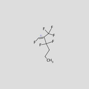 CCCC(F)(F)/C(=C\F)C(F)(F)F